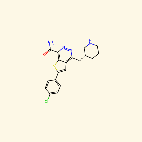 NC(=O)c1nnc(C[C@H]2CCCNC2)c2cc(-c3ccc(Cl)cc3)sc12